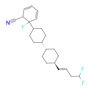 N#CC1C=CC=CC1(F)C1CCC([C@H]2CC[C@H](/C=C/CC(F)F)CC2)CC1